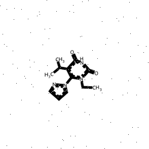 CCn1c(-n2cccn2)c(C(C)C)c(=O)[nH]c1=O